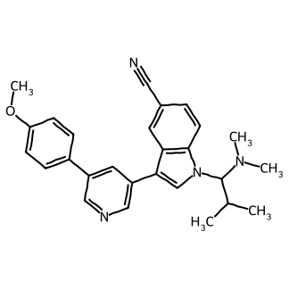 COc1ccc(-c2cncc(-c3cn(C(C(C)C)N(C)C)c4ccc(C#N)cc34)c2)cc1